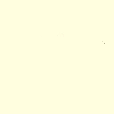 N#CCCCC(C(=O)O)c1cccc(I)c1